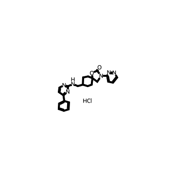 Cl.O=C1OC2(CCC(CNc3nccc(-c4ccccc4)n3)CC2)CN1c1cccnn1